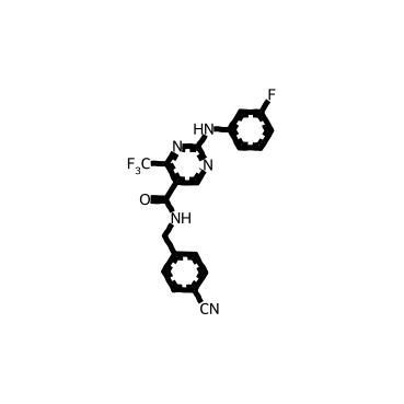 N#Cc1ccc(CNC(=O)c2cnc(Nc3cccc(F)c3)nc2C(F)(F)F)cc1